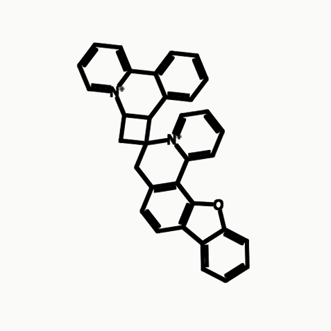 c1ccc2c(c1)-c1cccc[n+]1C1CC3(Cc4ccc5c(oc6ccccc65)c4-c4cccc[n+]43)C21